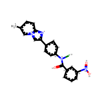 Cc1ccc2nc(-c3ccc(N(F)C(=O)c4cccc([N+](=O)[O-])c4)cc3)cn2c1